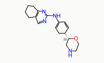 C1=CC([C@H]2CNCCO2)CC=C1Nc1ncc2c(n1)CCCC2